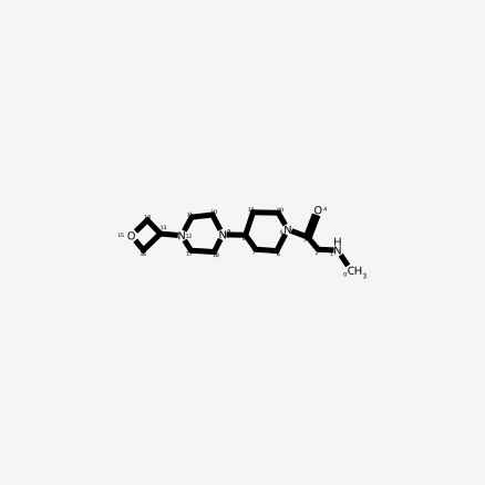 CNCC(=O)N1CCC(N2CCN(C3COC3)CC2)CC1